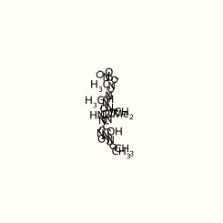 C=CC(=O)Nc1cc(Nc2nc(-c3ccnc(N4CCn5c(cc6c5CC(C)(C)C6)C4=O)c3CO)cnc2OC)ccc1N1CCN(C2CCN(c3cccc4c3CN(C3CCCCC3)C4=O)[C@@H](C)C2)C[C@@H]1C